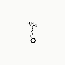 NC(=O)CCCCOc1ccccc1